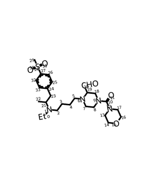 CCN(CCCCN1CCN(C(=O)N2CCOCC2)CC1C=O)C(C)Cc1ccc(S(C)(=O)=O)cc1